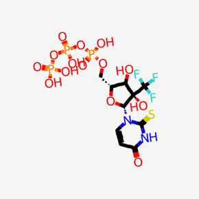 O=c1ccn([C@@H]2O[C@H](COP(=O)(O)OP(=O)(O)OP(=O)(O)O)C(O)[C@]2(O)C(F)(F)F)c(=S)[nH]1